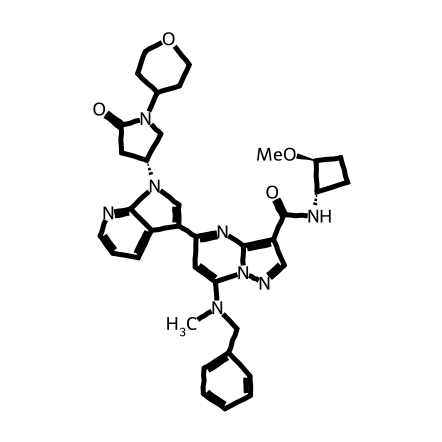 CO[C@H]1CC[C@@H]1NC(=O)c1cnn2c(N(C)Cc3ccccc3)cc(-c3cn([C@@H]4CC(=O)N(C5CCOCC5)C4)c4ncccc34)nc12